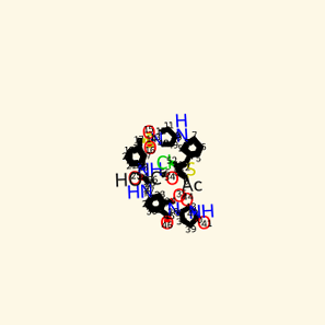 CC(=O)c1sc(-c2cccc(NC3CCN(S(=O)(=O)Cc4cccc(NC(=O)CNc5ccc6c(c5)C(=O)N(C5CCC(=O)NC5=O)C6=O)c4)CC3)c2)c(Cl)c1OCC(=O)O